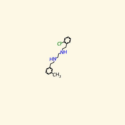 Cc1cccc(CCNCCNCCc2ccccc2Cl)c1